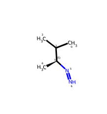 CC(C)[C@H](C)N=N